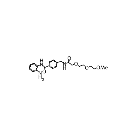 COCCOCCOCC(=O)NCc1ccc(C(=O)Nc2ccccc2N)cc1